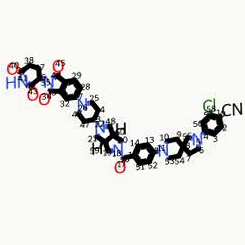 N#Cc1ccc(N2CCC3(CCN(c4ccc(C(=O)N5C[C@H]6CN(C7CCN(c8ccc9c(c8)C(=O)N(C8CCC(=O)NC8=O)C9=O)CC7)C[C@@H]6C5)cc4)CC3)C2)cc1Cl